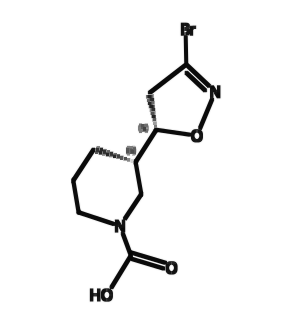 O=C(O)N1CCC[C@H]([C@@H]2CC(Br)=NO2)C1